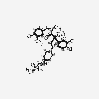 CN(Cc1ccc(Cl)c(C(F)(F)F)c1)C(=O)C(C)(CCN1CCC(NCS(C)(=O)=O)CC1)c1ccc(Cl)c(Cl)c1